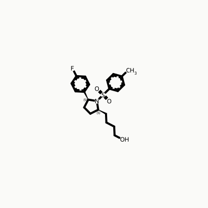 Cc1ccc(S(=O)(=O)N2[C@@H](CCCCO)CC[C@H]2c2ccc(F)cc2)cc1